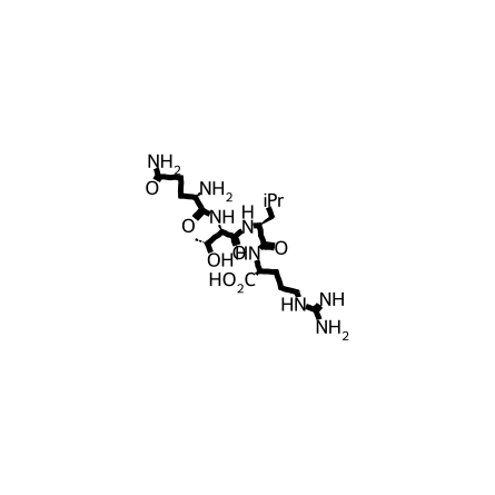 CC(C)C[C@H](NC(=O)[C@@H](NC(=O)[C@@H](N)CCC(N)=O)[C@@H](C)O)C(=O)N[C@@H](CCCNC(=N)N)C(=O)O